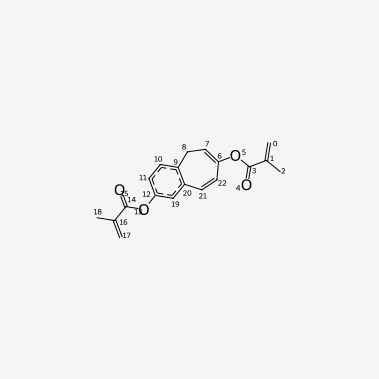 C=C(C)C(=O)OC1=CCc2ccc(OC(=O)C(=C)C)cc2C=C1